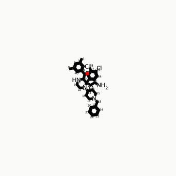 Cc1cc(C)cc(C(=O)C2NCCN(C3CCN(Cc4ccccc4)CC3)C2(C(=O)CN)c2ccc(Cl)c(Cl)c2)c1